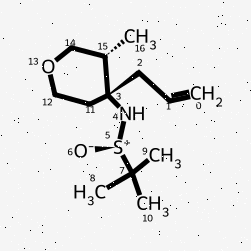 C=CC[C@@]1(N[S@+]([O-])C(C)(C)C)CCOC[C@@H]1C